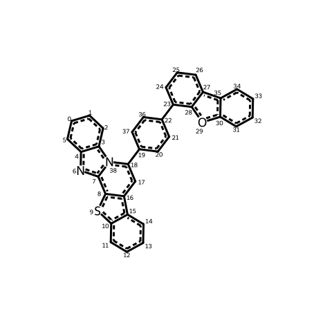 c1ccc2c(c1)nc1c3sc4ccccc4c3cc(-c3ccc(-c4cccc5c4oc4ccccc45)cc3)n21